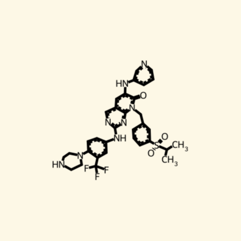 CC(C)S(=O)(=O)c1cccc(Cn2c(=O)c(Nc3cccnc3)cc3cnc(Nc4ccc(N5CCNCC5)c(C(F)(F)F)c4)nc32)c1